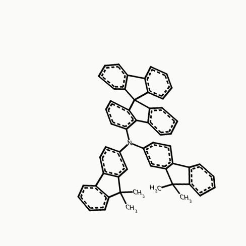 CC1(C)c2ccccc2-c2ccc(N(c3ccc4c(c3)C(C)(C)c3ccccc3-4)c3cccc4c3-c3ccccc3C43c4ccccc4-c4ccccc43)cc21